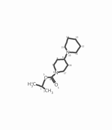 CC(C)OC(=O)N1CCC(N2CCCCC2)CC1